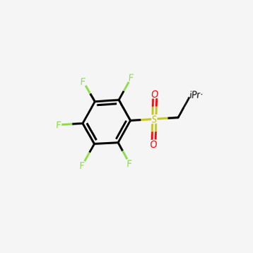 C[C](C)CS(=O)(=O)c1c(F)c(F)c(F)c(F)c1F